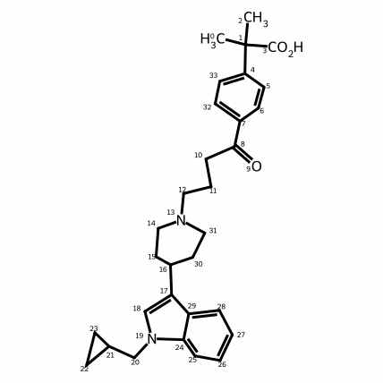 CC(C)(C(=O)O)c1ccc(C(=O)CCCN2CCC(c3cn(CC4CC4)c4ccccc34)CC2)cc1